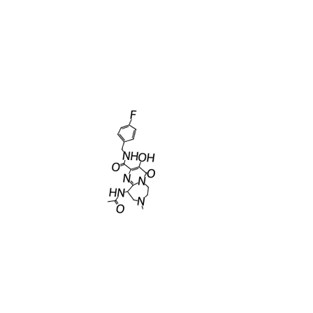 CC(=O)NC1CN(C)CCn2c1nc(C(=O)NCc1ccc(F)cc1)c(O)c2=O